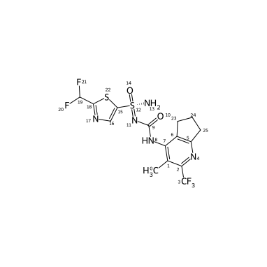 Cc1c(C(F)(F)F)nc2c(c1NC(=O)N=[S@](N)(=O)c1cnc(C(F)F)s1)CCC2